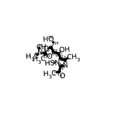 CC(=O)c1nc(C)c([C@@H](O)[C@@H]2OC(C)(N(C)C)O[C@@H]2CO)n1S